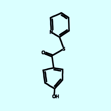 O=C(Sc1ccccn1)c1ccc(O)cc1